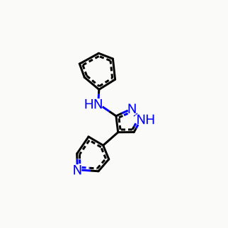 c1ccc(Nc2n[nH]cc2-c2ccncc2)cc1